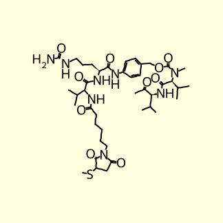 CSC1CC(=O)N(CCCCCC(=O)NC(C(=O)N[C@@H](CCCNC(N)=O)C(=O)Nc2ccc(COC(=O)N(C)[C@H](C(=O)N[C@H](C(C)=O)C(C)C)C(C)C)cc2)C(C)C)C1=O